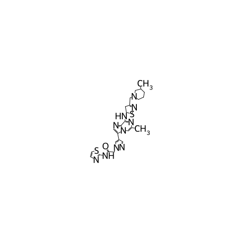 Cc1cn2c(-c3cnn(CC(=O)Nc4nccs4)c3)cnc2c(NC2CC(CN3CCCC(C)C3)=NS2)n1